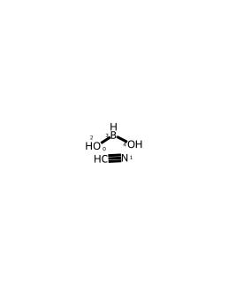 C#N.OBO